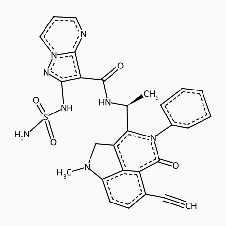 C#Cc1ccc2c3c(c([C@H](C)NC(=O)c4c(NS(N)(=O)=O)nn5cccnc45)n(-c4ccccc4)c(=O)c13)CN2C